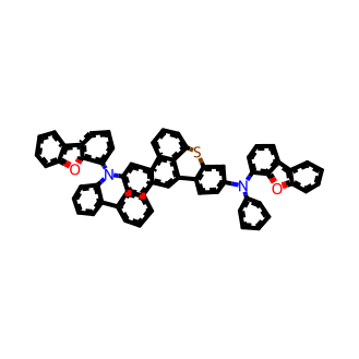 c1ccc(-c2ccccc2N(c2ccc3cc4c5c(cccc5c3c2)Sc2cc(N(c3ccccc3)c3cccc5c3oc3ccccc35)ccc2-4)c2cccc3c2oc2ccccc23)cc1